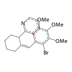 COc1cc(/C=C2/CCCCC2c2ccccn2)c(Br)c(OC)c1OC